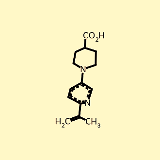 C=C(C)c1ccc(N2CCC(C(=O)O)CC2)cn1